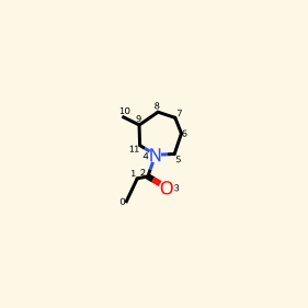 CCC(=O)N1CCCCC(C)C1